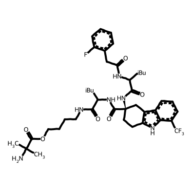 CCC(C)C(NC(=O)Cc1ccccc1F)C(=O)N[C@]1(C(=O)NC(C(=O)NCCCCOC(=O)C(C)(C)N)C(C)CC)CCc2[nH]c3c(C(F)(F)F)cccc3c2C1